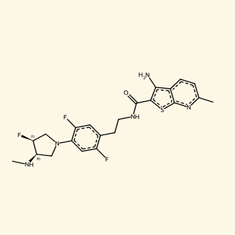 CN[C@@H]1CN(c2cc(F)c(CCNC(=O)c3sc4nc(C)ccc4c3N)cc2F)C[C@@H]1F